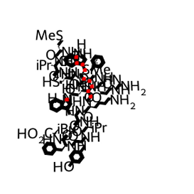 CC[C@H](C)[C@H](NC(=O)[C@H](Cc1ccccc1)NC(=O)[C@H](Cc1ccc(O)cc1)NC(=O)[C@@H](NC(=O)[C@H](Cc1c[nH]c2ccccc12)NC(=O)[C@H](CCCCN)NC(=O)CNC(=O)[C@H](Cc1ccccc1)NC(=O)[C@H](CCCNC(=N)N)NC(=O)[C@H](CC(N)=O)NC(=O)[C@H](Cc1c[nH]c2ccccc12)NC(=O)[C@H](CS)NC(=O)[C@@H](NC(=O)[C@H](CCSC)NC(=O)[C@@H](N)CCSC)C(C)C)C(C)C)C(=O)O